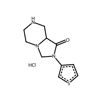 Cl.O=C1C2CNCCN2CN1c1ccsc1